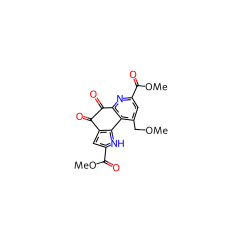 COCc1cc(C(=O)OC)nc2c1-c1[nH]c(C(=O)OC)cc1C(=O)C2=O